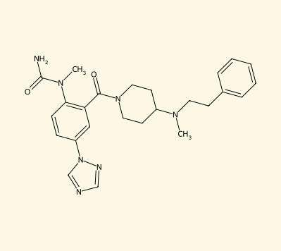 CN(C(N)=O)c1ccc(-n2cncn2)cc1C(=O)N1CCC(N(C)CCc2ccccc2)CC1